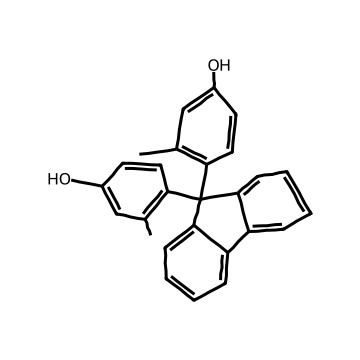 Cc1cc(O)ccc1C1(c2ccc(O)cc2C)c2ccccc2-c2ccccc21